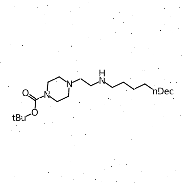 CCCCCCCCCCCCCCNCCN1CCN(C(=O)OC(C)(C)C)CC1